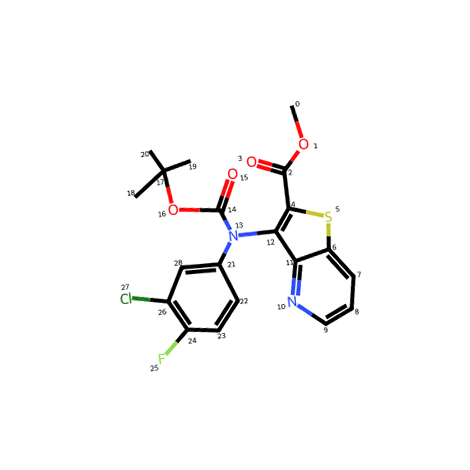 COC(=O)c1sc2cccnc2c1N(C(=O)OC(C)(C)C)c1ccc(F)c(Cl)c1